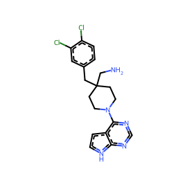 NCC1(Cc2ccc(Cl)c(Cl)c2)CCN(c2ncnc3[nH]ccc23)CC1